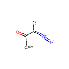 CCC(=[N+]=[N-])C(=O)OC